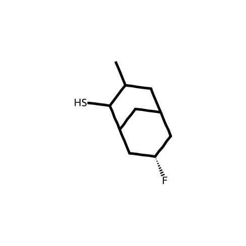 CC1CC2CC(C[C@@H](F)C2)C1S